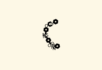 O=C(On1nnc2ccccc21)c1ccc(-c2nnc(-c3ccc(OC4CCN(c5ccccc5)CC4)cc3)s2)cc1